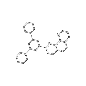 c1ccc(-c2cc(-c3ccccc3)cc(-c3ccc4ccc5cccnc5c4n3)c2)cc1